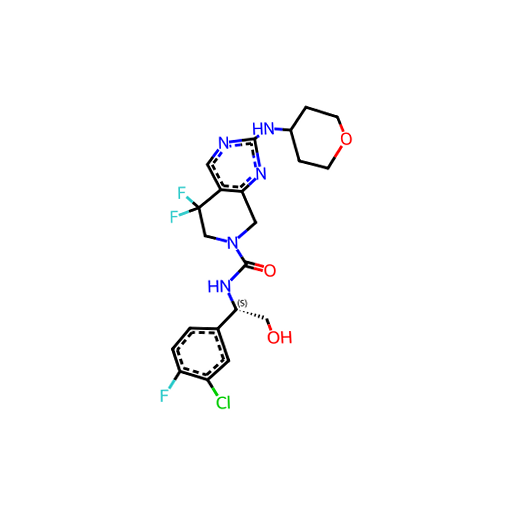 O=C(N[C@H](CO)c1ccc(F)c(Cl)c1)N1Cc2nc(NC3CCOCC3)ncc2C(F)(F)C1